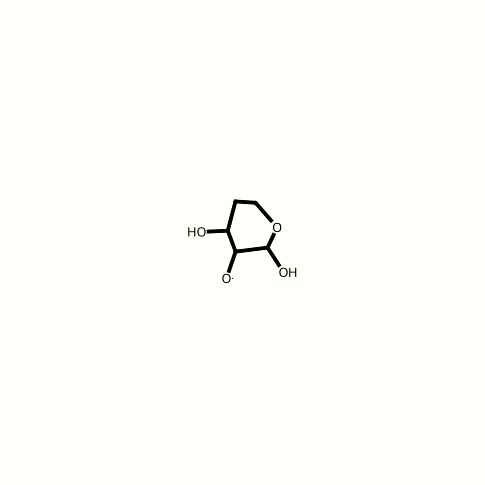 [O]C1C(O)CCOC1O